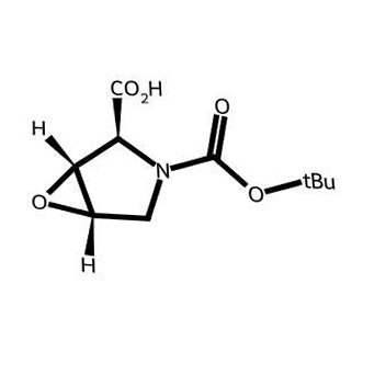 CC(C)(C)OC(=O)N1C[C@@H]2O[C@@H]2[C@H]1C(=O)O